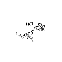 COc1cc(C(C)=O)ccc1OCCCN1CCC(C(O)(c2ccccc2)C2CCCCC2)CC1.Cl